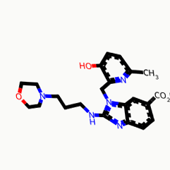 CCOC(=O)c1ccc2nc(NCCCN3CCOCC3)n(Cc3nc(C)ccc3O)c2c1